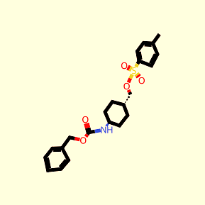 Cc1ccc(S(=O)(=O)OC[C@H]2CC[C@H](NC(=O)OCc3ccccc3)CC2)cc1